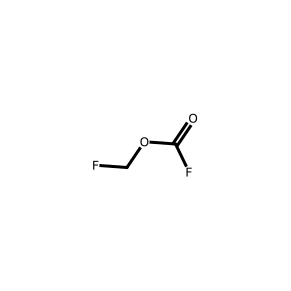 O=C(F)OCF